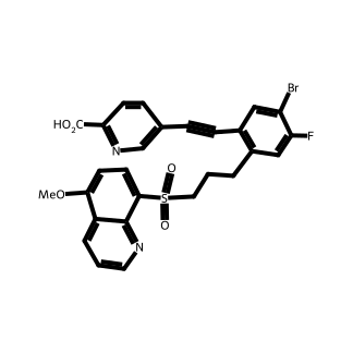 COc1ccc(S(=O)(=O)CCCc2cc(F)c(Br)cc2C#Cc2ccc(C(=O)O)nc2)c2ncccc12